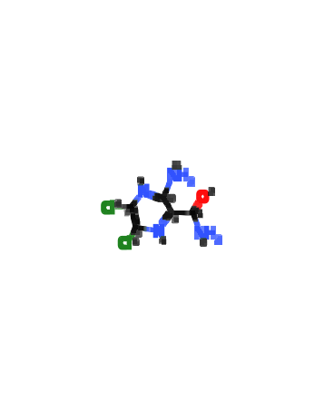 NC(=O)c1nc(Cl)c(Cl)nc1N